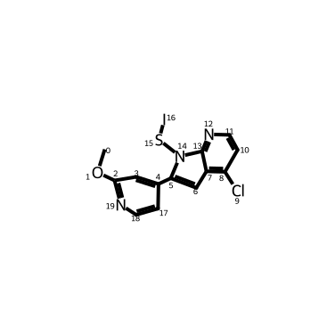 COc1cc(-c2cc3c(Cl)ccnc3n2SI)ccn1